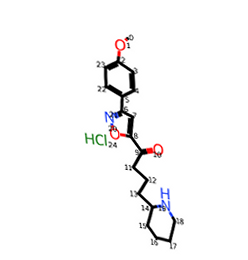 COc1ccc(-c2cc(C(=O)CCCC3CCCCN3)on2)cc1.Cl